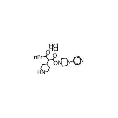 CCCC(=O)C(C(=O)ON1CCN(c2ccncc2)CC1)C1CCNCC1.Cl.Cl